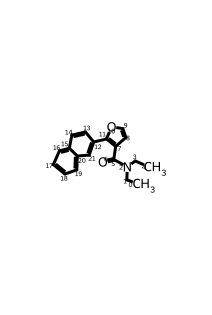 CCN(CC)C(=O)c1ccoc1-c1ccc2ccccc2c1